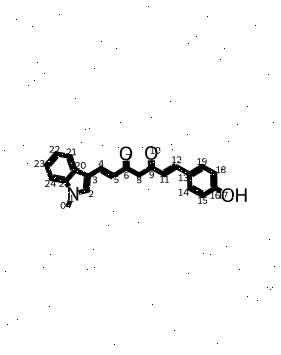 Cn1cc(/C=C/C(=O)CC(=O)/C=C/c2ccc(O)cc2)c2ccccc21